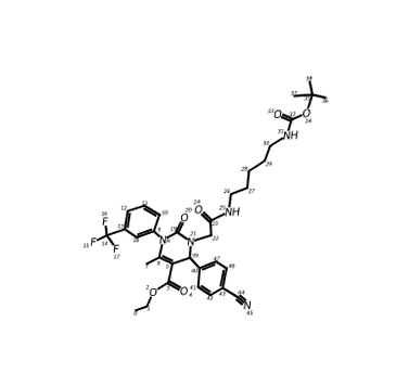 CCOC(=O)C1=C(C)N(c2cccc(C(F)(F)F)c2)C(=O)N(CC(=O)NCCCCCNC(=O)OC(C)(C)C)C1c1ccc(C#N)cc1